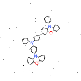 c1ccc(N(c2ccc(-c3ccc4c(c3)Oc3ccccc3N4c3ccccc3)cc2)c2ccc(N3c4ccccc4Oc4ccccc43)cc2)cc1